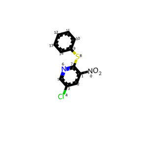 O=[N+]([O-])c1cc(Cl)cnc1Sc1ccccc1